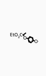 CCOC(=O)C(C)Oc1ccc([O])cc1